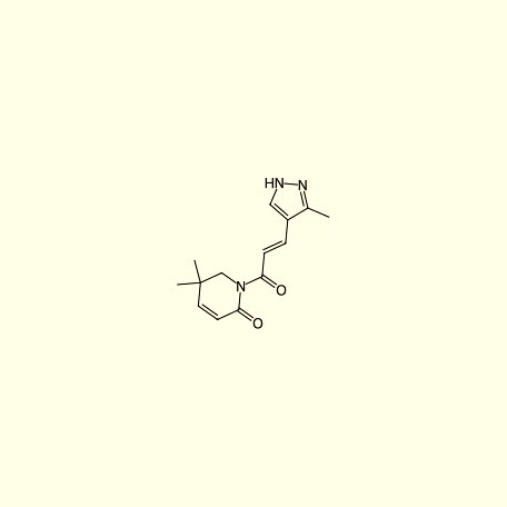 Cc1n[nH]cc1/C=C/C(=O)N1CC(C)(C)C=CC1=O